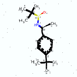 C[C@H](N[S@+]([O-])C(C)(C)C)c1ccc(C(C)(C)C)cc1